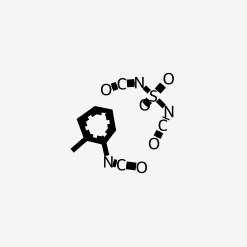 Cc1ccccc1N=C=O.O=C=NS(=O)(=O)N=C=O